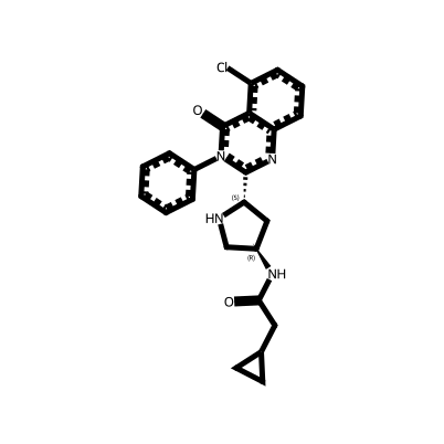 O=C(CC1CC1)N[C@H]1CN[C@H](c2nc3cccc(Cl)c3c(=O)n2-c2ccccc2)C1